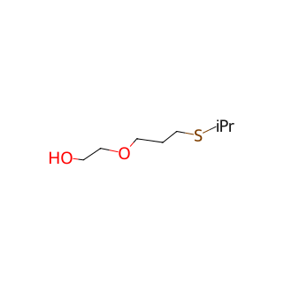 CC(C)SCCCOCCO